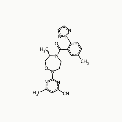 Cc1ccc(-n2nccn2)c(C(=O)N2CCN(c3nc(C)cc(C#N)n3)OC[C@H]2C)c1